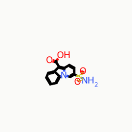 NS(=O)(=O)c1ccc2c(C(=O)O)c3ccccc3n2c1